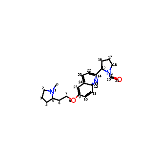 CN1CCCC1CCOc1ccc2nc(C3CCCN3C=O)ccc2c1